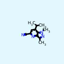 Cc1nn(C)c2c(C(C)C)cc(C#N)nc12